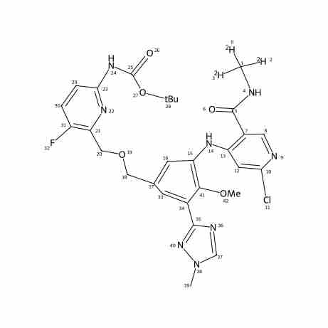 [2H]C([2H])([2H])NC(=O)c1cnc(Cl)cc1Nc1cc(COCc2nc(NC(=O)OC(C)(C)C)ccc2F)cc(-c2ncn(C)n2)c1OC